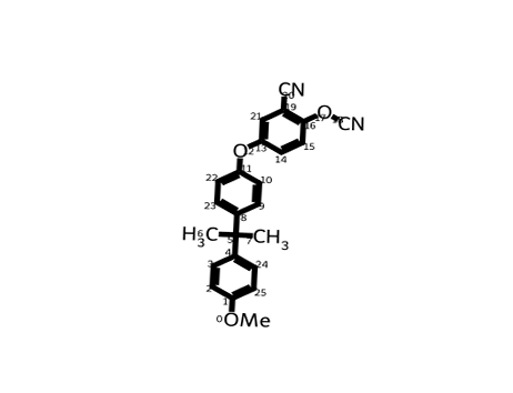 COc1ccc(C(C)(C)c2ccc(Oc3ccc(OC#N)c(C#N)c3)cc2)cc1